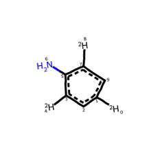 [2H]c1cc([2H])c(N)c([2H])c1